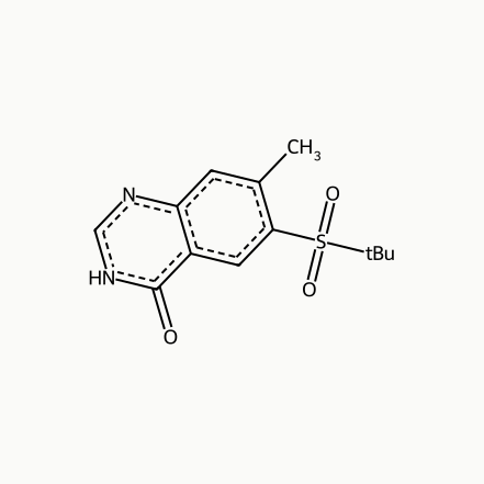 Cc1cc2nc[nH]c(=O)c2cc1S(=O)(=O)C(C)(C)C